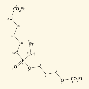 CCOC(=O)OCCCOP(=O)(NC(C)C)OCCCOC(=O)OCC